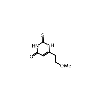 COCCc1cc(=O)[nH]c(=S)[nH]1